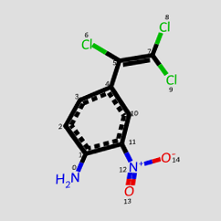 Nc1ccc(C(Cl)=C(Cl)Cl)cc1[N+](=O)[O-]